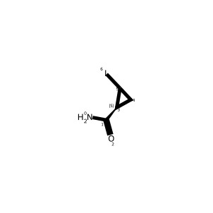 NC(=O)[C@@H]1CC1I